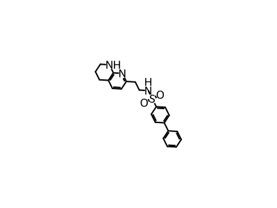 O=S(=O)(NCCc1ccc2c(n1)NCCC2)c1ccc(-c2ccccc2)cc1